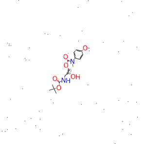 COc1ccc(N2C[C@H]([C@H](O)CNC(=O)OC(C)(C)C)OC2=O)cc1